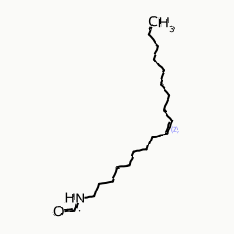 CCCCCCCC/C=C\CCCCCCCCN[C]=O